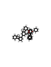 c1ccc(-c2nc(-c3ccccc3)nc(-c3cccc4oc5cc(-c6cccc7c6oc6ccccc67)cc(-n6c7ccccc7c7ccccc76)c5c34)n2)cc1